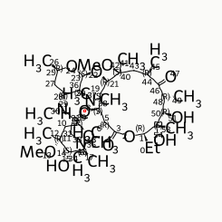 CC[C@H]1OC(=O)[C@H](C)[C@@H](O[C@H]2C[C@@](C)(OC)[C@@H](O)[C@H](C)O2)[C@H](C)[C@@H](O[C@@H]2O[C@H](C)C[C@@H](N(C)CCN(C)C)[C@@H]2N(C)C)[C@@](C)(OC)C[C@@H](C)C(=O)[C@H](C)[C@@H](O)[C@]1(C)O